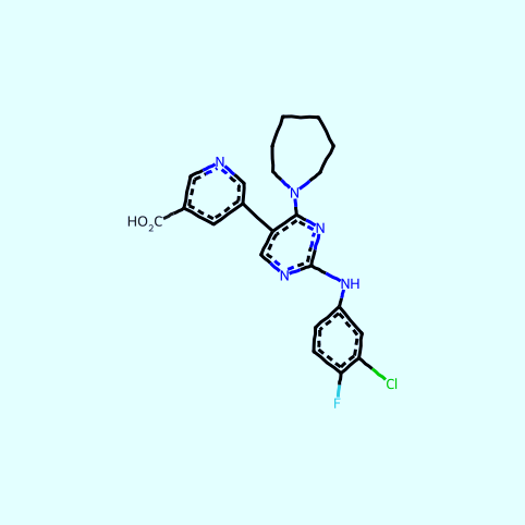 O=C(O)c1cncc(-c2cnc(Nc3ccc(F)c(Cl)c3)nc2N2CCCCCC2)c1